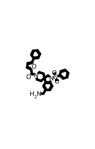 NCc1ccc2c(c1)C1(CCN(C(=O)c3ccc(-c4ccccc4)o3)CC1)CN2S(=O)(=O)c1ccccc1